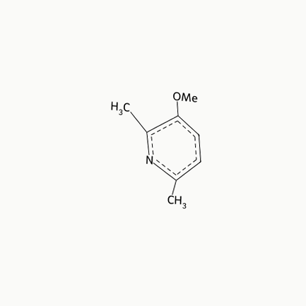 [CH2]Oc1ccc(C)nc1C